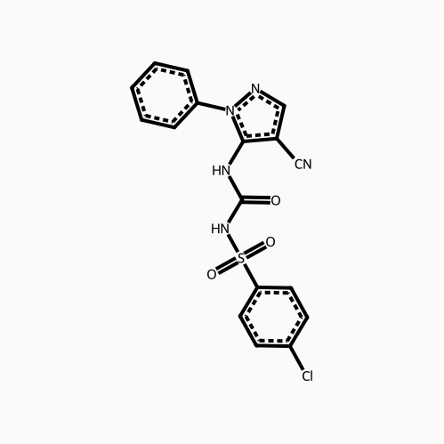 N#Cc1cnn(-c2ccccc2)c1NC(=O)NS(=O)(=O)c1ccc(Cl)cc1